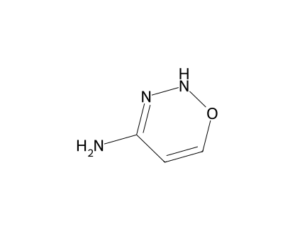 NC1=NNOC=C1